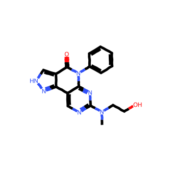 CN(CCO)c1ncc2c3n[nH]cc3c(=O)n(-c3ccccc3)c2n1